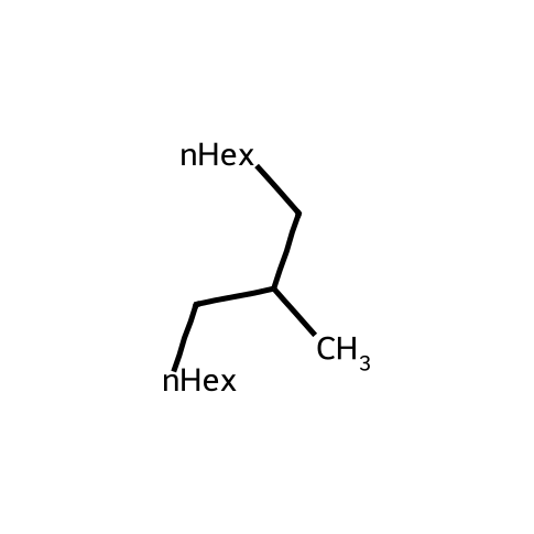 [CH2]CCCCCCC(C)CCCCCCC